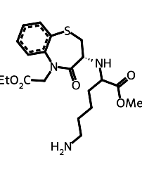 CCOC(=O)CN1C(=O)[C@@H](NC(CCCCN)C(=O)OC)CSc2ccccc21